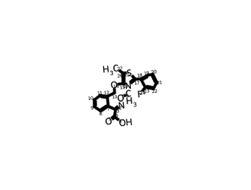 CO/N=C(/C(=O)O)c1ccccc1COc1nc(-c2ccccc2F)sc1C